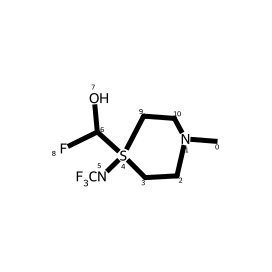 CN1CCS(NC(F)(F)F)(C(O)F)CC1